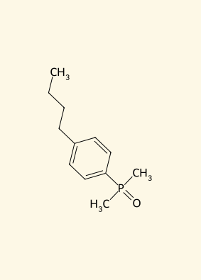 CCCCc1ccc(P(C)(C)=O)cc1